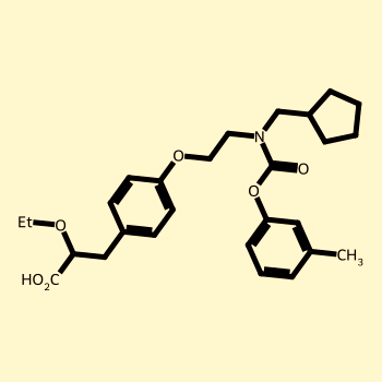 CCOC(Cc1ccc(OCCN(CC2CCCC2)C(=O)Oc2cccc(C)c2)cc1)C(=O)O